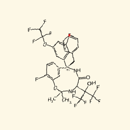 CC1(C)NC(C(O)(C(F)(F)F)C(F)(F)F)C(=O)N[C@@](Cc2ccccc2)(c2cc(F)cc(OC(F)(F)C(F)F)c2)c2ccc(F)c(c2)O1